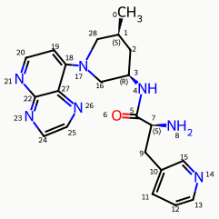 C[C@H]1C[C@@H](NC(=O)[C@@H](N)Cc2cccnc2)CN(c2ccnc3nccnc23)C1